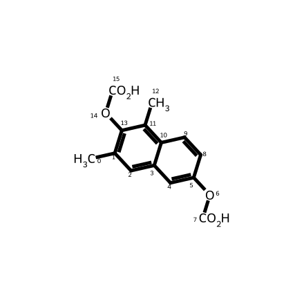 Cc1cc2cc(OC(=O)O)ccc2c(C)c1OC(=O)O